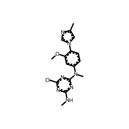 CNc1nc(Cl)nc(N(C)c2ccc(-n3cnc(C)c3)c(OC)c2)n1